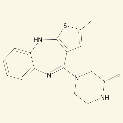 Cc1cc2c(s1)Nc1ccccc1N=C2N1CCN[C@@H](C)C1